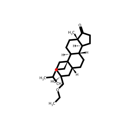 CCOC[C@@]1(O)CC[C@@]2(COC(C)C)[C@H](CC[C@@H]3[C@@H]2CC[C@]2(C)C(=O)CC[C@@H]32)C1